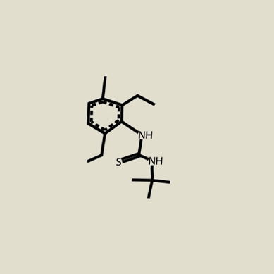 CCc1ccc(C)c(CC)c1NC(=S)NC(C)(C)C